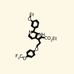 CCOC(=O)c1[nH]c2c(-c3cccc(OCC)c3)nccc2c1CCOc1ccc(OC(F)(F)F)cc1